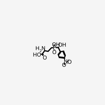 N[C@@H](CCP(=O)(O)C(O)c1ccc([N+](=O)[O-])cc1)C(=O)O